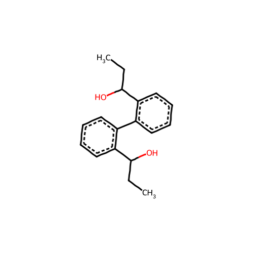 CCC(O)c1ccccc1-c1ccccc1C(O)CC